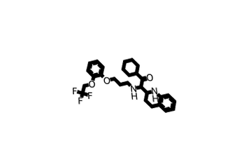 O=C(C1CCCCC1)C(NCCCOc1ccccc1OCC(F)(F)F)C1CCc2ccccc2N1